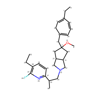 CCC1=CCC(CC2(OC)CC3CN(CC(C)c4ccc(CC)c(F)n4)CC3C2)=CC=C1